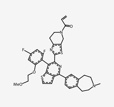 C=CC(=O)N1CCc2nc(-c3nc(-c4ccc5c(c4)CCN(C)CC5)c4ccsc4c3-c3c(F)cc(F)cc3OCCOC)sc2C1